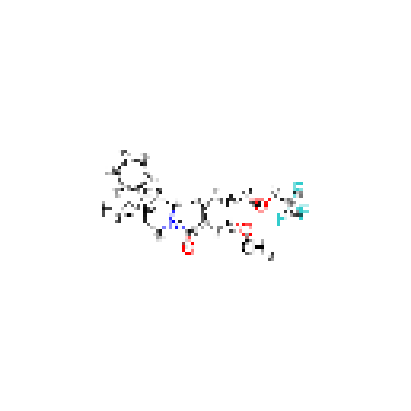 COc1cc(C(=O)N2CCC(C)(c3ccccc3)CC2)ccc1COCC(F)(F)F